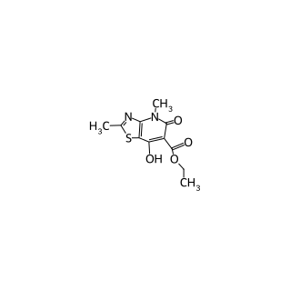 CCOC(=O)c1c(O)c2sc(C)nc2n(C)c1=O